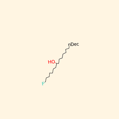 CCCCCCCCCCCCCCCCCC(O)CCCCCCCF